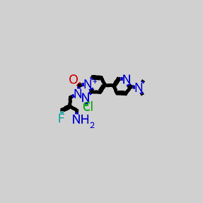 CN(C)c1ccc(-c2cc[n+]3c(=O)n(C/C(=C/F)CN)n(Cl)c3c2)cn1